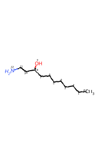 CCCCCCCCC(O)CCN